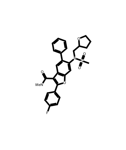 CNC(=O)c1c(-c2ccc(F)cc2)oc2cc(N(CC3CCCO3)S(C)(=O)=O)c(-c3ccccc3)cc12